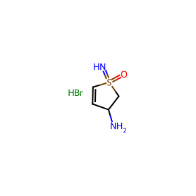 Br.N=S1(=O)C=CC(N)C1